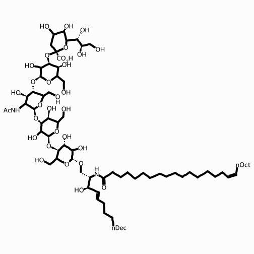 CCCCCCCC/C=C\CCCCCCCCCCCCCCCC(=O)N[C@@H](CO[C@@H]1OC(CO)[C@@H](O[C@@H]2OC(CO)[C@H](O)[C@H](O[C@@H]3OC(CO)[C@@H](O[C@@H]4OC(CO)[C@H](O)[C@H](O[C@]5(C(=O)O)CC(O)[C@@H](O)C([C@H](O)[C@H](O)CO)O5)C4O)[C@H](O)C3NC(C)=O)C2O)[C@H](O)C1O)[C@H](O)/C=C/CCCCCCCCCCCCC